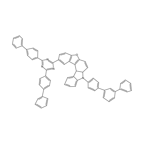 C1=CC2C(c3ccccc3N2c2ccc(-c3cccc(-c4ccccc4)c3)cc2)c2c1oc1ccc(-c3nc(-c4ccc(-c5ccccc5)cc4)nc(-c4ccc(-c5ccccc5)cc4)n3)cc21